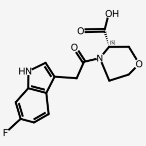 O=C(O)[C@@H]1COCCN1C(=O)Cc1c[nH]c2cc(F)ccc12